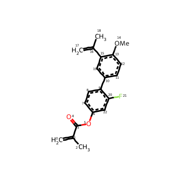 C=C(C)C(=O)Oc1ccc(-c2ccc(OC)c(C(=C)C)c2)c(F)c1